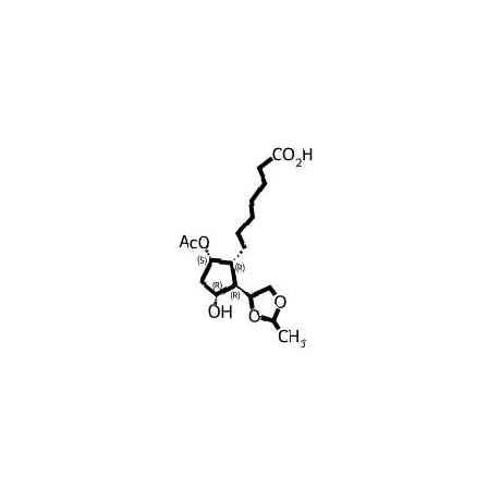 CC(=O)O[C@H]1C[C@@H](O)[C@H](C2COC(C)O2)[C@H]1CCCCCCC(=O)O